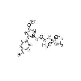 CCOc1nc(-c2ccc(Br)cc2)n(COCC[Si](C)(C)C)n1